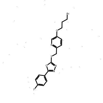 CC(=O)CCCOc1ccc(CSc2nnc(-c3ccc(F)cc3)o2)nc1